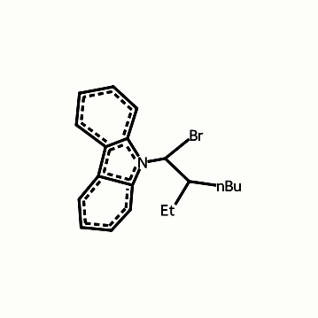 CCCCC(CC)C(Br)n1c2ccccc2c2ccccc21